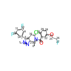 C[C@H]1c2nn(C)c(-c3cc(F)cc(F)c3)c2CCN1C(=O)c1cc(OCCF)ccc1Cl